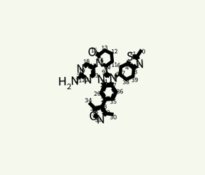 Cc1nc2c(s1)C[C@H](n1c([C@@H]3CCCC(=O)N3c3cnc(N)nc3)nc3cc(-c4c(C)noc4C)ccc31)CC2